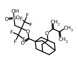 C=C(C)C(=C)OC12CC3CC(C1)CC(C(=O)OC(CS(=O)(=O)O)(C(F)(F)F)C(F)(F)F)(C3)C2